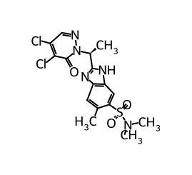 Cc1cc2nc([C@H](C)n3ncc(Cl)c(Cl)c3=O)[nH]c2cc1S(=O)(=O)N(C)C